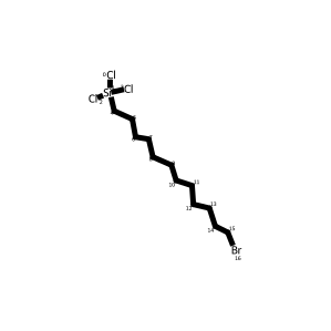 Cl[Si](Cl)(Cl)CCCCCCCCCCCCBr